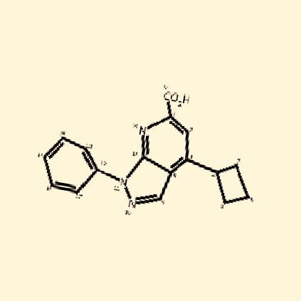 O=C(O)c1cc(C2CCC2)c2cnn(-c3ccccc3)c2n1